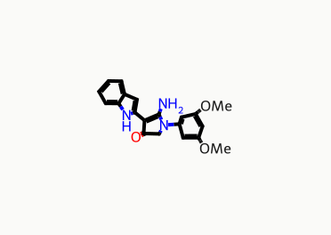 COc1cc(OC)cc(N2CC(=O)C(c3cc4ccccc4[nH]3)=C2N)c1